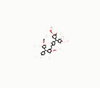 C=CCOc1c(C)cc(C(c2ccc(C)cc2)c2cc(C)c(OCC=C)c(CCc3ccc(C(c4cc(C)c(O)c(C)c4)c4cc(C)c(OCC(=O)OC(C)(C)C)c(C)c4)cc3)c2)cc1C